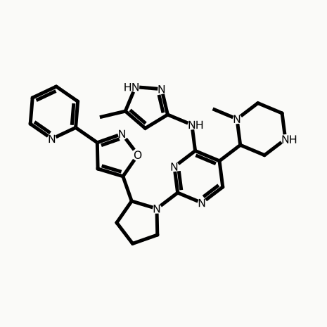 Cc1cc(Nc2nc(N3CCCC3c3cc(-c4ccccn4)no3)ncc2C2CNCCN2C)n[nH]1